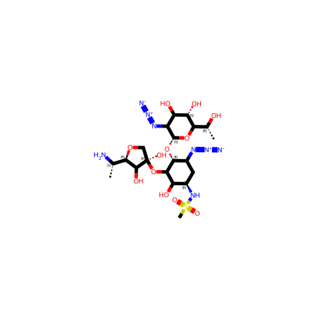 C[C@H](N)[C@H]1OC[C@@](O)(OC2C(O)[C@H](NS(C)(=O)=O)CC(N=[N+]=[N-])[C@H]2O[C@H]2OC([C@@H](C)O)[C@@H](O)C(O)C2N=[N+]=[N-])C1O